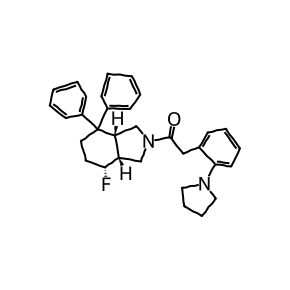 O=C(Cc1ccccc1N1CCCC1)N1C[C@@H]2[C@H](F)CCC(c3ccccc3)(c3ccccc3)[C@@H]2C1